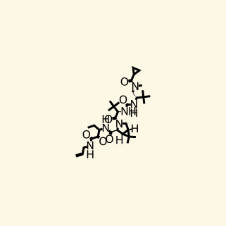 C=CCNC(=O)C(=O)C(CC)NC(=O)[C@@H]1[C@@H]2[C@H](CN1C(=O)[C@@H](NC(=O)N[C@H](CN(C)C(=O)C1CC1)C(C)(C)C)C(C)(C)C)C2(C)C